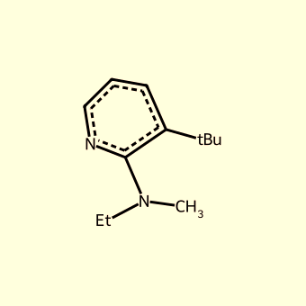 CCN(C)c1ncccc1C(C)(C)C